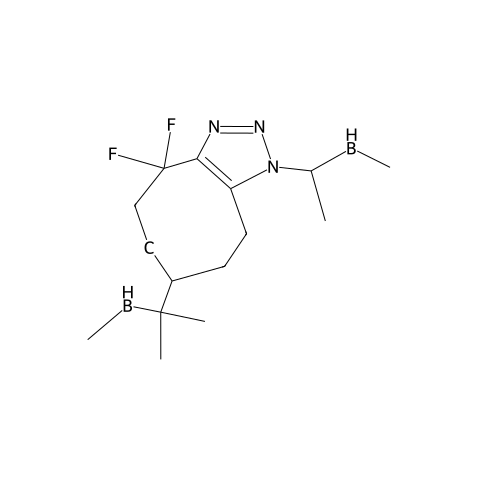 CBC(C)n1nnc2c1CCC(C(C)(C)BC)CCC2(F)F